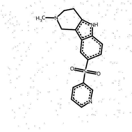 CN1CCc2[nH]c3ccc(S(=O)(=O)c4cccnc4)cc3c2C1